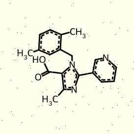 Cc1ccc(C)c(Cn2c(-c3cccnc3)nc(C)c2C(=O)O)c1